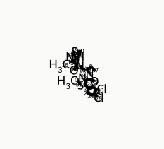 Cc1nc(C(=O)N2CC[C@@H]2CNC(=O)c2c(C)nc3sccn23)c(-c2ccc(Cl)c(Cl)c2)s1